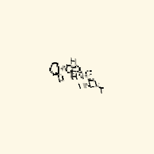 COc1ccccc1N1C[C@H]2CC[C@H](NC(=O)[C@@H]3C[C@@H](F)CN3)[C@H]2C1